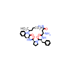 NC(=O)C[C@H](N)C(=O)N[C@@H](Cc1ccccc1)C(=O)N1CCC[C@H]1C(=O)N[C@@H](Cc1ccccc1)C(=O)N[C@@H](CCC(=O)O)C(=O)O